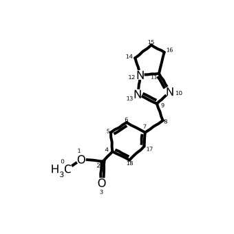 COC(=O)c1ccc(Cc2nc3n(n2)CCC3)cc1